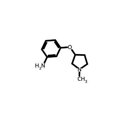 CN1CCC(Oc2cccc(N)c2)C1